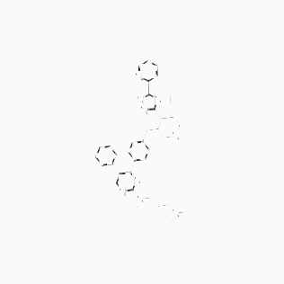 CN(C)CCCN(C)c1ncc(-c2ccccc2)c(-c2ccc(CC3CNCCC3c3nnc(-c4ccccn4)[nH]3)cc2)n1